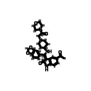 CC(=O)c1ccc2c(c1)C(=C(NC1CCN(CC(=O)N3CCOCC3)CC1)c1ccc3c(c1)OCO3)C(=O)N2